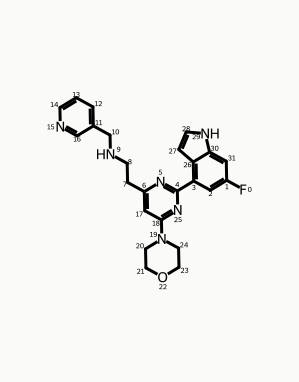 Fc1cc(-c2nc(CCNCc3cccnc3)cc(N3CCOCC3)n2)c2cc[nH]c2c1